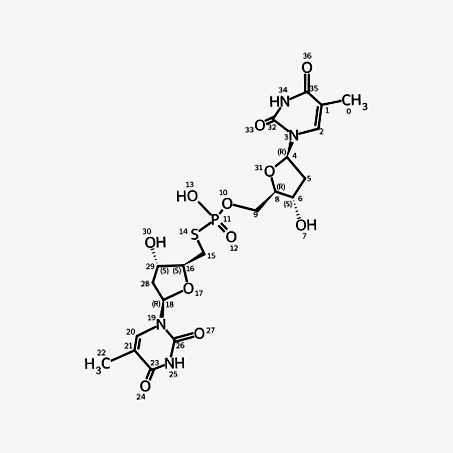 Cc1cn([C@H]2C[C@H](O)[C@@H](COP(=O)(O)SC[C@H]3O[C@@H](n4cc(C)c(=O)[nH]c4=O)C[C@@H]3O)O2)c(=O)[nH]c1=O